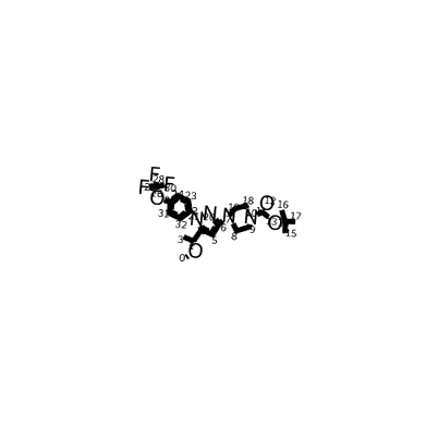 COC(C)c1cc(N2CCN(C(=O)OC(C)(C)C)CC2)nn1-c1ccc(OC(F)(F)F)cc1